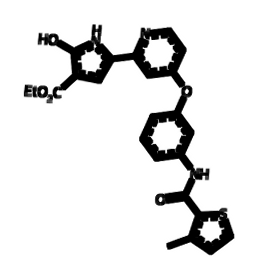 CCOC(=O)c1cc(-c2cc(Oc3cccc(NC(=O)c4sccc4C)c3)ccn2)[nH]c1O